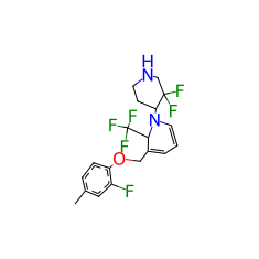 Cc1ccc(OCC2=CC=CN(C3CCNCC3(F)F)C2C(F)(F)F)c(F)c1